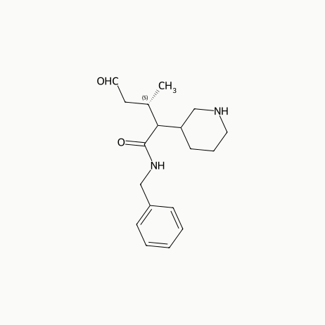 C[C@@H](CC=O)C(C(=O)NCc1ccccc1)C1CCCNC1